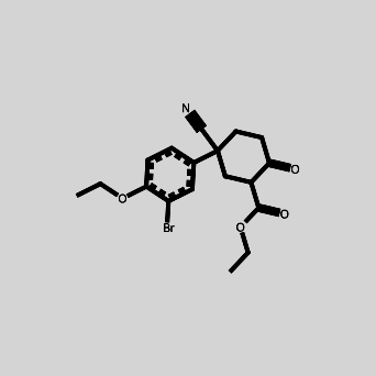 CCOC(=O)C1CC(C#N)(c2ccc(OCC)c(Br)c2)CCC1=O